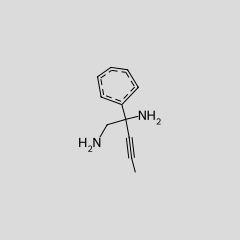 CC#CC(N)(CN)c1ccccc1